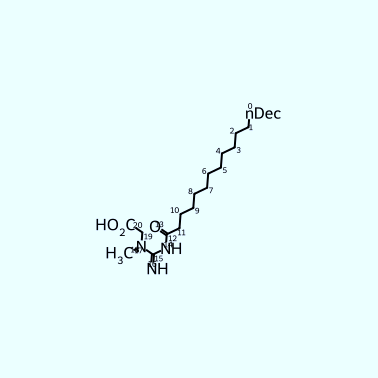 CCCCCCCCCCCCCCCCCCCCCC(=O)NC(=N)N(C)CC(=O)O